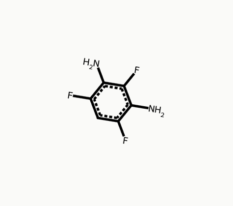 Nc1c(F)cc(F)c(N)c1F